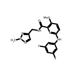 COc1ccc(Nc2cc(F)cc(F)c2)nc1C(=O)NCc1cnn(C)n1